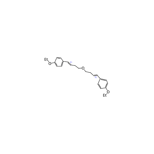 CCOc1ccc(/C=C/CCOCC/C=C/c2ccc(OCC)cc2)cc1